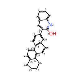 Oc1nc2ccccc2cc1-c1ccc2c(ccc3c4c(ccc32)CCCC4)c1